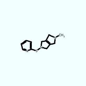 CN1CC2=C(C1)CN(Sc1ccccn1)C2